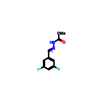 COC(=O)N/N=C/c1cc(F)cc(F)c1